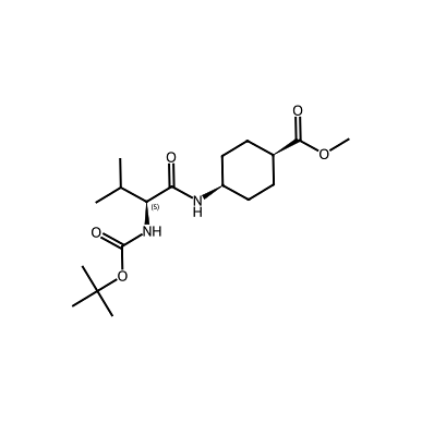 COC(=O)[C@H]1CC[C@@H](NC(=O)[C@@H](NC(=O)OC(C)(C)C)C(C)C)CC1